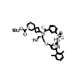 Cc1cccc(C)c1-c1cc2nc(n1)NS(=O)(=O)c1cccc(c1)C(=O)N(C1CC3(CCCN(C(=O)OC(C)(C)C)C3)C1)[C@H](CC(C)(C)C)CO2